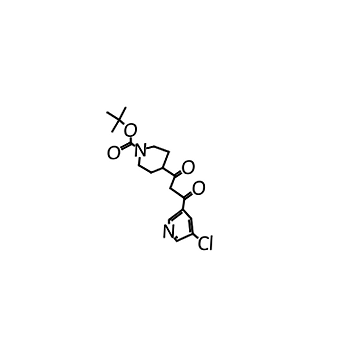 CC(C)(C)OC(=O)N1CCC(C(=O)CC(=O)c2cncc(Cl)c2)CC1